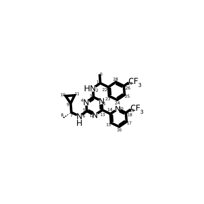 CC(Nc1nc(N[C@H](C)C2CC2)nc(-c2cccc(C(F)(F)F)n2)n1)c1cccc(C(F)(F)F)c1